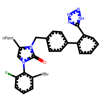 CCCCCc1cn(-c2c(F)cccc2C(C)(C)C)c(=O)n1Cc1ccc(-c2ccccc2-c2nnn[nH]2)cc1